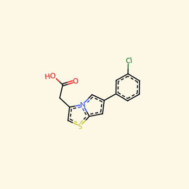 O=C(O)Cc1csc2cc(-c3cccc(Cl)c3)cn12